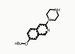 CCCCOc1ccc2cc(N3CCNCC3)ncc2c1